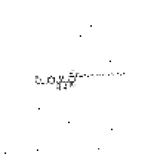 CCCCCCCCCCCCCCOc1ccc(NC(=O)Nc2cccc(C[n+]3ccsc3)c2)cc1OC.[Br-]